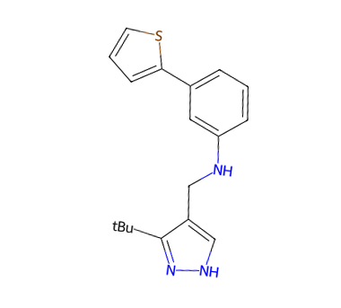 CC(C)(C)c1n[nH]cc1CNc1cccc(-c2cccs2)c1